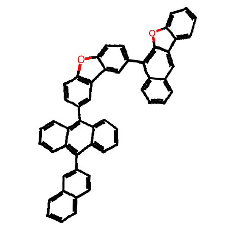 c1ccc2cc(-c3c4ccccc4c(-c4ccc5oc6ccc(-c7c8ccccc8cc8c7oc7ccccc78)cc6c5c4)c4ccccc34)ccc2c1